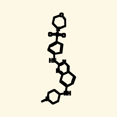 CN1CCC(Nc2ccc3cnc(Nc4ccc(S(=O)(=O)N5CCOCC5)cc4)nc3c2)CC1